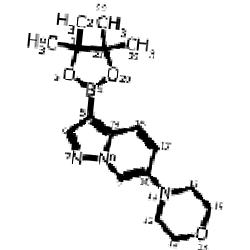 CC1(C)OB(c2cnn3cc(N4CCOCC4)ccc23)OC1(C)C